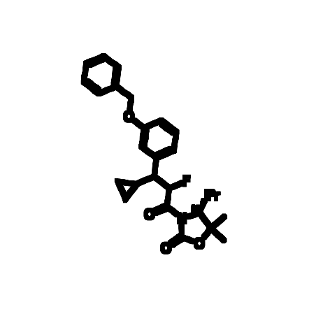 CC(C)[C@@H]1N(C(=O)C(F)C(c2cccc(OCc3ccccc3)c2)C2CC2)C(=O)OC1(C)C